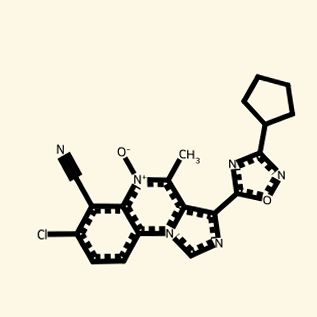 Cc1c2c(-c3nc(C4CCCC4)no3)ncn2c2ccc(Cl)c(C#N)c2[n+]1[O-]